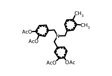 CC(=O)Oc1ccc(CN(Cc2ccc(C)c(C)c2)Cc2ccc(OC(C)=O)c(OC(C)=O)c2)cc1OC(C)=O